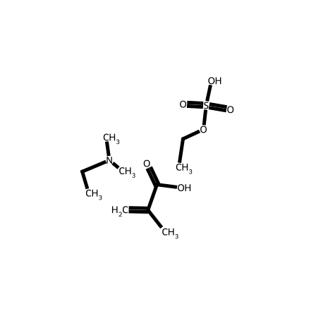 C=C(C)C(=O)O.CCN(C)C.CCOS(=O)(=O)O